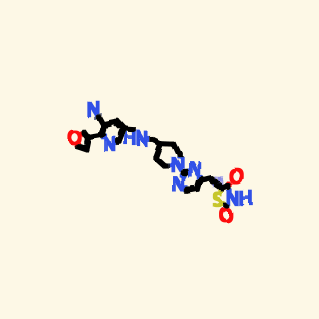 N#Cc1cc(CNCC2CCN(c3nccc(/C=C4\SC(=O)NC4=O)n3)CC2)cnc1-c1ccoc1